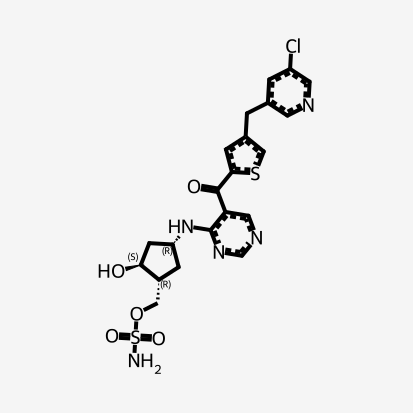 NS(=O)(=O)OC[C@H]1C[C@@H](Nc2ncncc2C(=O)c2cc(Cc3cncc(Cl)c3)cs2)C[C@@H]1O